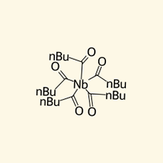 CCCC[C](=O)[Nb]([C](=O)CCCC)([C](=O)CCCC)([C](=O)CCCC)[C](=O)CCCC